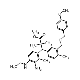 CCNc1ccc(C(c2ccc(C)c(COCc3ccc(OC)cc3)c2)C(C)(C)C(=O)OC)c(C)c1N